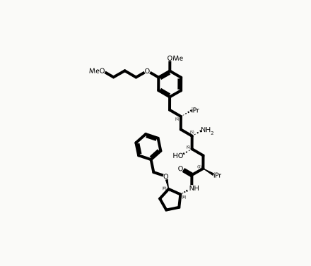 COCCCOc1cc(C[C@@H](C[C@H](N)[C@@H](O)C[C@H](C(=O)N[C@@H]2CCC[C@H]2OCc2ccccc2)C(C)C)C(C)C)ccc1OC